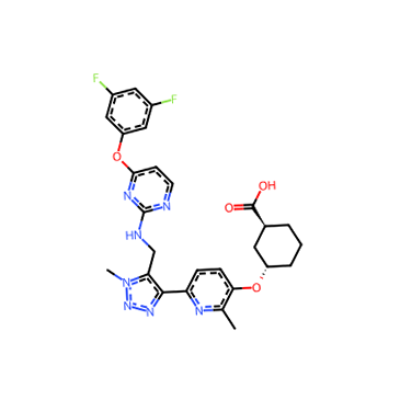 Cc1nc(-c2nnn(C)c2CNc2nccc(Oc3cc(F)cc(F)c3)n2)ccc1O[C@H]1CCC[C@H](C(=O)O)C1